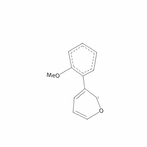 COc1ccccc1C1=CC=CO[C]1